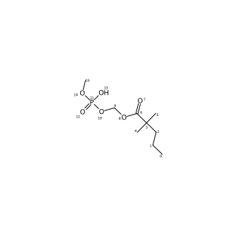 CCCC(C)(C)C(=O)OCOP(=O)(O)OC